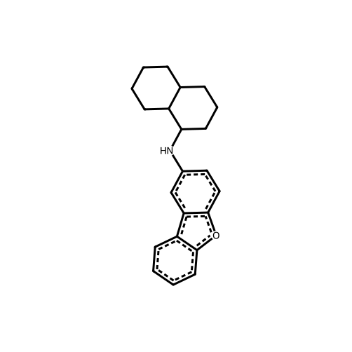 c1ccc2c(c1)oc1ccc(NC3CCCC4CCCCC43)cc12